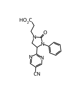 N#Cc1cnc(C2CN(CCC(=O)O)C(=O)N2c2ccccc2)nc1